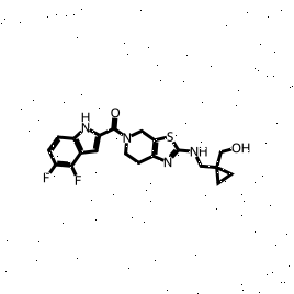 O=C(c1cc2c(F)c(F)ccc2[nH]1)N1CCc2nc(NCC3(CO)CC3)sc2C1